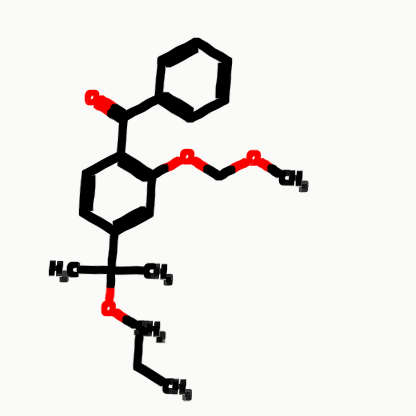 CC[SiH2]OC(C)(C)c1ccc(C(=O)c2ccccc2)c(OCOC)c1